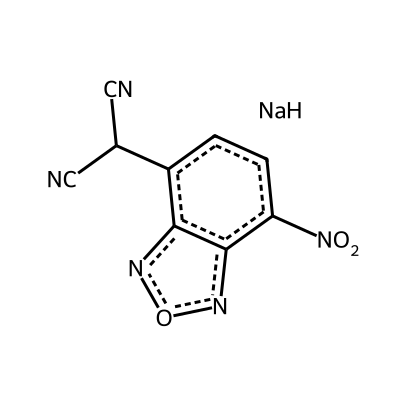 N#CC(C#N)c1ccc([N+](=O)[O-])c2nonc12.[NaH]